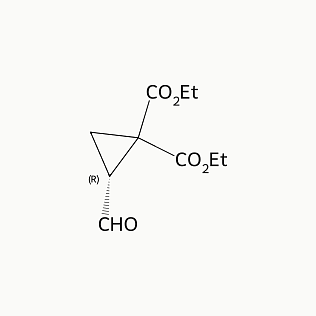 CCOC(=O)C1(C(=O)OCC)C[C@H]1C=O